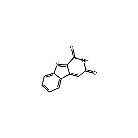 O=C1C=C2C(=Nc3ccccc32)C(=O)N1